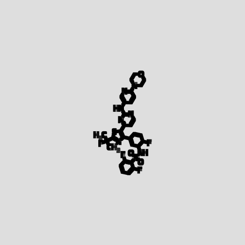 CC(C)(F)c1nc(C2=CC(NS(=O)(=O)c3c(F)cccc3F)C(F)C=C2)c(-c2ccnc(Nc3ccc(N4CCOCC4)nc3)n2)s1